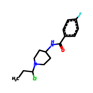 CCC(Cl)N1CCC(NC(=O)c2ccc(F)cc2)CC1